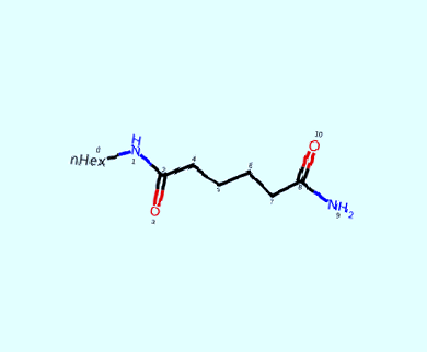 CCCCCCNC(=O)CCCCC(N)=O